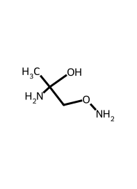 CC(N)(O)CON